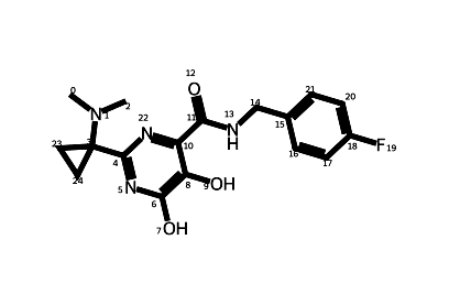 CN(C)C1(c2nc(O)c(O)c(C(=O)NCc3ccc(F)cc3)n2)CC1